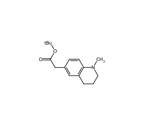 CN1CCCc2cc(CC(=O)OC(C)(C)C)ccc21